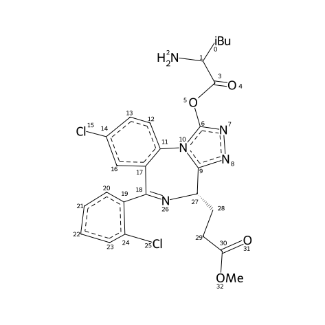 CCC(C)C(N)C(=O)Oc1nnc2n1-c1ccc(Cl)cc1C(c1ccccc1Cl)=N[C@H]2CCC(=O)OC